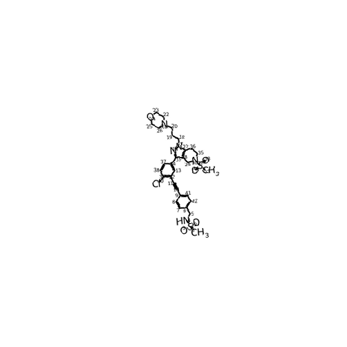 CS(=O)(=O)NCc1ccc(C#Cc2cc(-c3nn(CCCN4CCOCC4)c4c3CN(S(C)(=O)=O)CC4)ccc2Cl)cc1